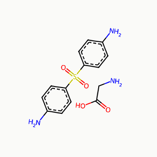 NCC(=O)O.Nc1ccc(S(=O)(=O)c2ccc(N)cc2)cc1